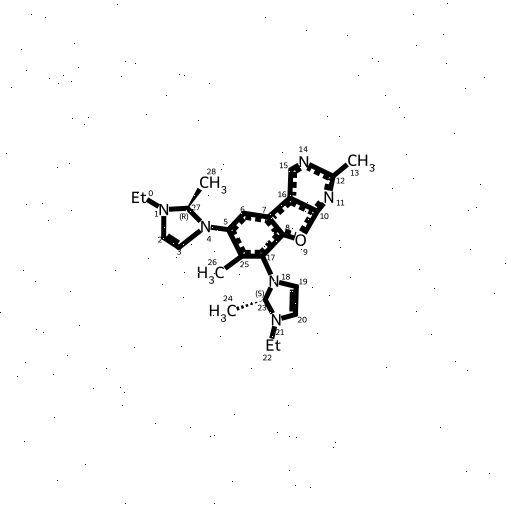 CCN1C=CN(c2cc3c(oc4nc(C)ncc43)c(N3C=CN(CC)[C@@H]3C)c2C)[C@@H]1C